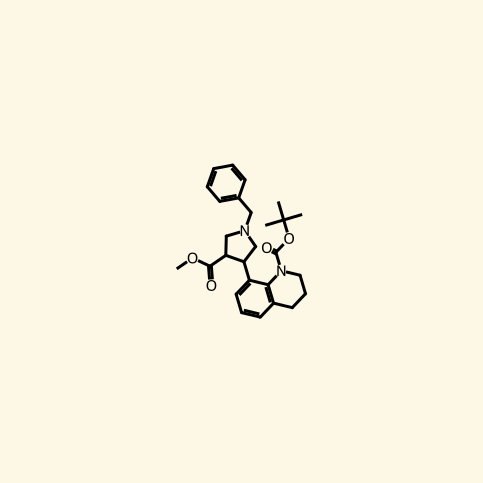 COC(=O)C1CN(Cc2ccccc2)CC1c1cccc2c1N(C(=O)OC(C)(C)C)CCC2